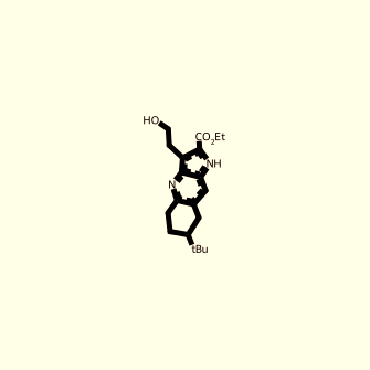 CCOC(=O)c1[nH]c2cc3c(nc2c1CCO)CCC(C(C)(C)C)C3